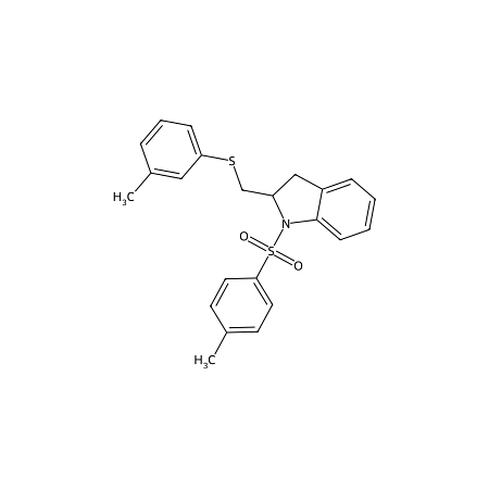 Cc1ccc(S(=O)(=O)N2c3ccccc3CC2CSc2cccc(C)c2)cc1